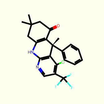 CC1(C)CC(=O)C2=C(C1)Nc1ncc(C(F)(F)F)c(Cl)c1[C@@]2(C)c1ccccc1